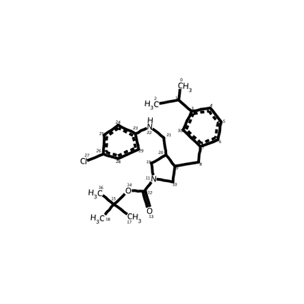 CC(C)c1cccc(CC2CN(C(=O)OC(C)(C)C)CC2CNc2ccc(Cl)cc2)c1